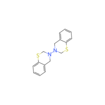 c1ccc2c(c1)CN(N1CSc3ccccc3C1)CS2